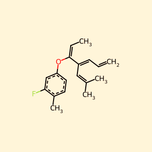 C=C/C=C(C=C(C)C)/C(=C\C)Oc1ccc(C)c(F)c1